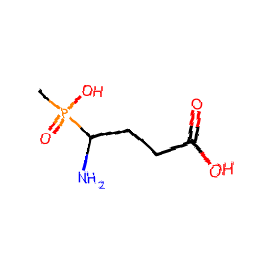 CP(=O)(O)C(N)CCC(=O)O